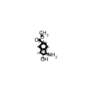 COC(=O)c1ccc2c(c1)C[C@@H](O)[C@@H]2N